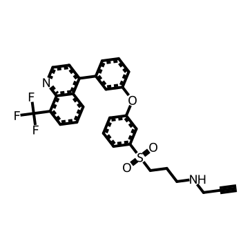 C#CCNCCCS(=O)(=O)c1cccc(Oc2cccc(-c3ccnc4c(C(F)(F)F)cccc34)c2)c1